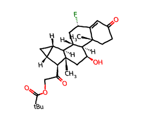 CC(C)(C)C(=O)OCC(=O)[C@H]1[C@@H]2C[C@@H]2[C@H]2[C@@H]3C[C@H](F)C4=CC(=O)CC[C@]4(C)[C@H]3[C@@H](O)C[C@@]21C